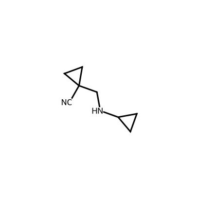 N#CC1(CNC2CC2)CC1